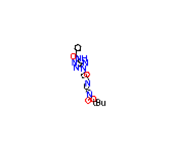 CC(C)(C)OC(=O)N1CC2(CCN(CC3CCC(n4cnc5c(NC(=O)c6ccccc6)ncnc54)O3)C2)C1